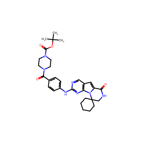 CC(C)(C)OC(=O)N1CCN(C(=O)c2ccc(Nc3ncc4cc5n(c4n3)C3(CCCCC3)CNC5=O)cc2)CC1